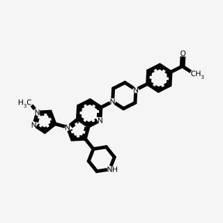 CC(=O)c1ccc(N2CCN(c3ccc4c(n3)c(C3CCNCC3)cn4-c3cnn(C)c3)CC2)cc1